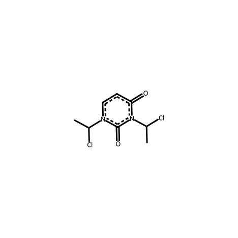 CC(Cl)n1ccc(=O)n(C(C)Cl)c1=O